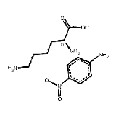 NCCCC[C@H](N)C(=O)O.Nc1ccc([N+](=O)[O-])cc1